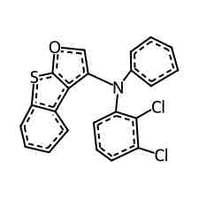 Clc1cccc(N(c2ccccc2)c2coc3sc4ccccc4c23)c1Cl